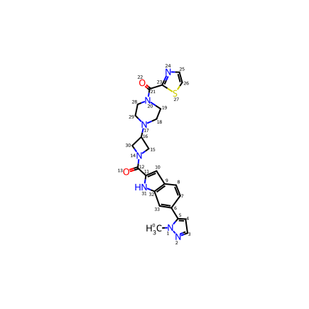 Cn1nccc1-c1ccc2cc(C(=O)N3CC(N4CCN(C(=O)c5nccs5)CC4)C3)[nH]c2c1